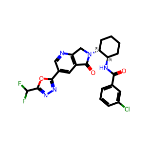 O=C(N[C@@H]1CCCC[C@H]1N1Cc2ncc(-c3nnc(C(F)F)o3)cc2C1=O)c1cccc(Cl)c1